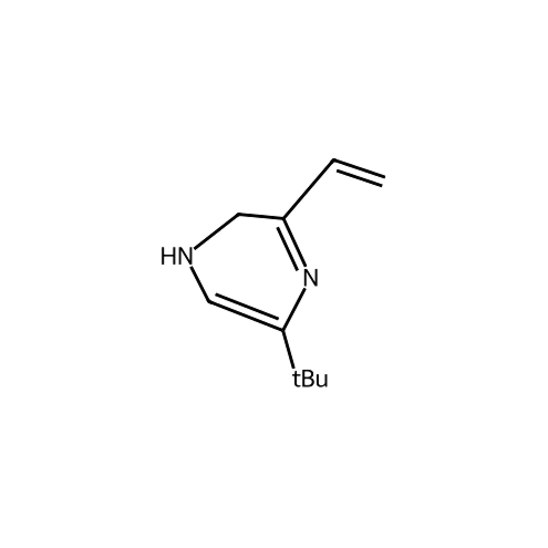 C=CC1=NC(C(C)(C)C)=CNC1